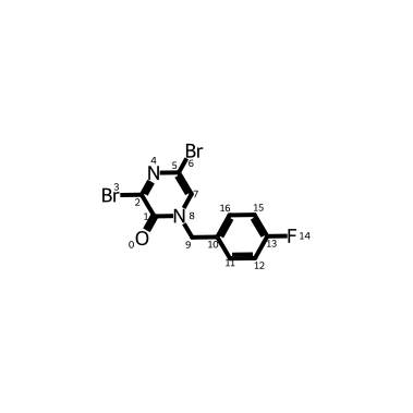 O=c1c(Br)nc(Br)cn1Cc1ccc(F)cc1